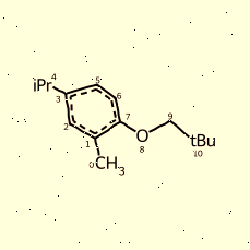 Cc1cc(C(C)C)ccc1OCC(C)(C)C